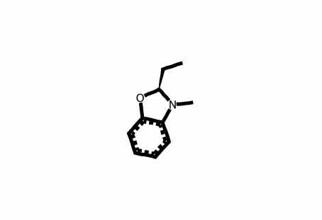 CC[C@@H]1Oc2ccccc2N1C